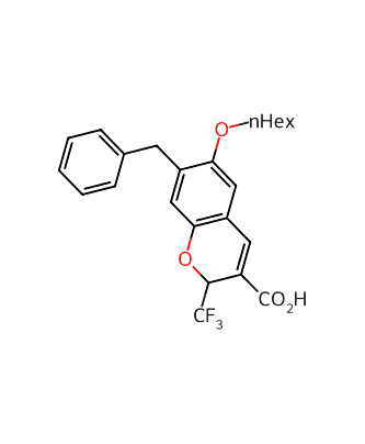 CCCCCCOc1cc2c(cc1Cc1ccccc1)OC(C(F)(F)F)C(C(=O)O)=C2